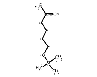 C[Si](C)(C)OCCCCC(N)=O